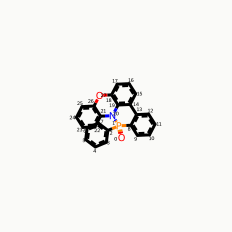 O=P1(c2ccccc2)c2ccccc2-c2cccc3c2N1c1ccccc1O3